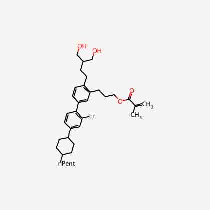 C=C(C)C(=O)OCCCc1cc(-c2ccc(C3CCC(CCCCC)CC3)cc2CC)ccc1CCC(CO)CO